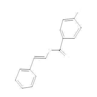 O=C(N/C=C/c1ccccc1)c1ccc(Br)cc1